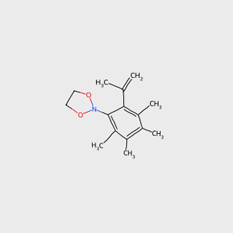 C=C(C)c1c(C)c(C)c(C)c(C)c1N1OCCO1